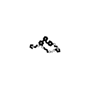 O=C1CCCN1CCOc1ccc(Cc2ccccc2-c2ccc(OCCN3CCCC3)c(OCCCCO)c2)cc1